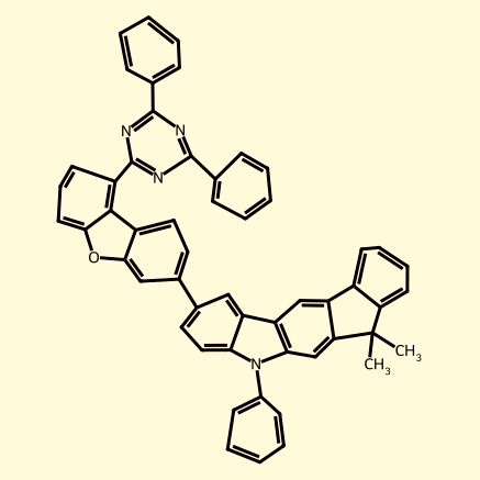 CC1(C)c2ccccc2-c2cc3c4cc(-c5ccc6c(c5)oc5cccc(-c7nc(-c8ccccc8)nc(-c8ccccc8)n7)c56)ccc4n(-c4ccccc4)c3cc21